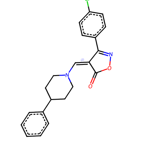 O=C1ON=C(c2ccc(Cl)cc2)/C1=C/N1CCC(c2ccccc2)CC1